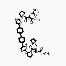 COC(=O)N[C@@H](Cn1cccn1)C(=O)N1CCC[C@H]1c1ncc(-c2ccc(-c3ccc(-c4cnc([C@@H]5CCCN5C(=O)[C@@H](OC(N)=O)C(C)C)[nH]4)cc3)cc2)[nH]1